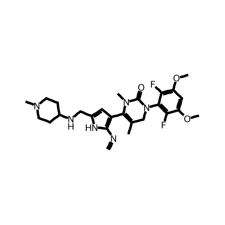 C=Nc1[nH]c(CNC2CCN(C)CC2)cc1C1=C(C)CN(c2c(F)c(OC)cc(OC)c2F)C(=O)N1C